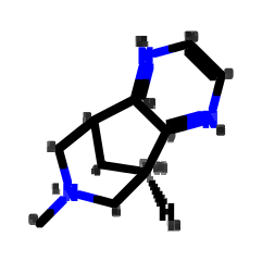 CN1CC2C[C@H](C1)c1nccnc12